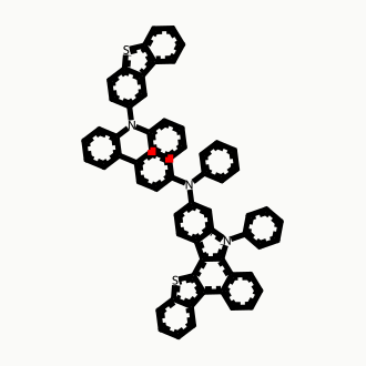 c1ccc(N(c2ccc(-c3ccccc3N(c3ccccc3)c3ccc4sc5ccccc5c4c3)cc2)c2ccc3c4c5sc6ccccc6c5c5ccccc5c4n(-c4ccccc4)c3c2)cc1